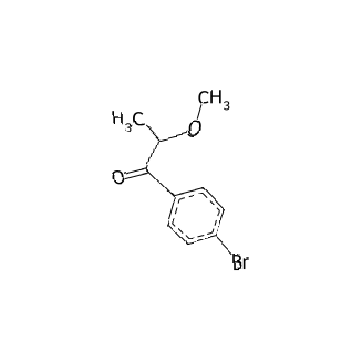 COC(C)C(=O)c1ccc(Br)cc1